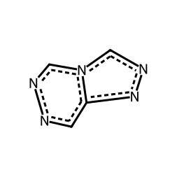 c1nncn2cnnc12